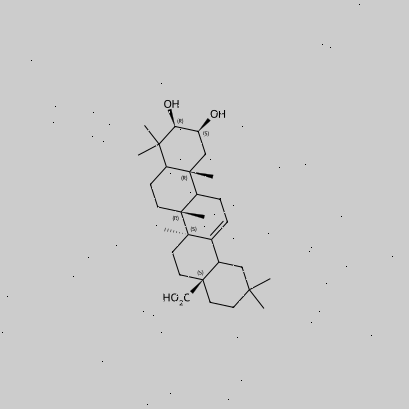 CC1(C)CC[C@]2(C(=O)O)CC[C@]3(C)C(=CCC4[C@@]5(C)C[C@H](O)[C@H](O)C(C)(C)C5CC[C@]43C)C2C1